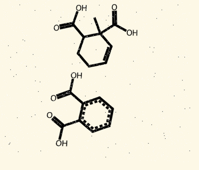 CC1(C(=O)O)C=CCCC1C(=O)O.O=C(O)c1ccccc1C(=O)O